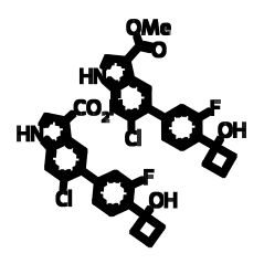 COC(=O)c1c[nH]c2cc(Cl)c(-c3ccc(C4(O)CCC4)c(F)c3)cc12.O=C(O)c1c[nH]c2cc(Cl)c(-c3ccc(C4(O)CCC4)c(F)c3)cc12